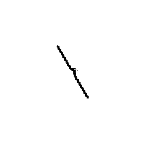 CCCCCCCCCCCCCCCCCC#C[P]C#CCCCCCCCCCCCCCCCCC